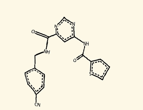 N#Cc1ccc(CNC(=O)c2cc(NC(=O)c3cccs3)ncn2)cc1